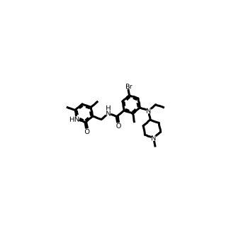 CCN(c1cc(Br)cc(C(=O)NCc2c(C)cc(C)[nH]c2=O)c1C)C1CCN(C)CC1